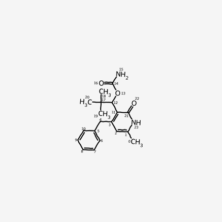 Cc1cc(Cc2ccccc2)c(C(OC(N)=O)C(C)(C)C)c(=O)[nH]1